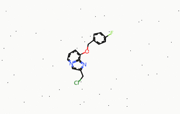 Fc1ccc(COc2cccn3cc(CCl)nc23)cc1